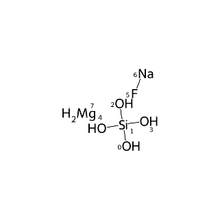 O[Si](O)(O)O.[F][Na].[MgH2]